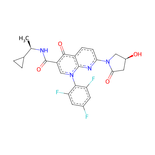 C[C@@H](NC(=O)c1cn(-c2c(F)cc(F)cc2F)c2nc(N3C[C@@H](O)CC3=O)ccc2c1=O)C1CC1